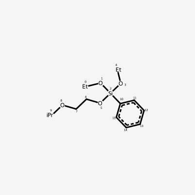 CCO[Si](OCC)(OCCOC(C)C)c1ccccc1